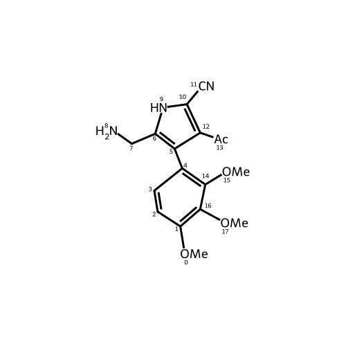 COc1ccc(-c2c(CN)[nH]c(C#N)c2C(C)=O)c(OC)c1OC